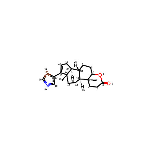 C[C@]12CCC(=O)OC1CC[C@@H]1[C@@H]2CC[C@]2(C)C(c3cncs3)=CC[C@@H]12